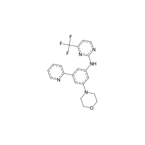 FC(F)(F)c1ccnc(Nc2cc(-c3ccccn3)cc(N3CCOCC3)c2)n1